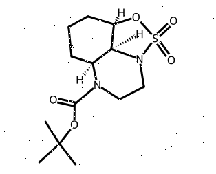 CC(C)(C)OC(=O)N1CCN2[C@@H]3[C@@H](CCC[C@@H]31)OS2(=O)=O